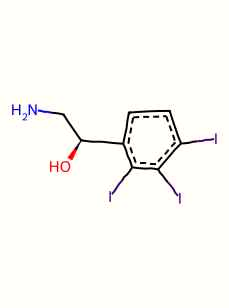 NC[C@H](O)c1ccc(I)c(I)c1I